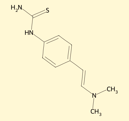 CN(C)C=Cc1ccc(NC(N)=S)cc1